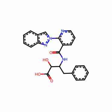 O=C(NC(Cc1ccccc1)C(O)C(=O)O)c1cccnc1-n1cc2ccccc2n1